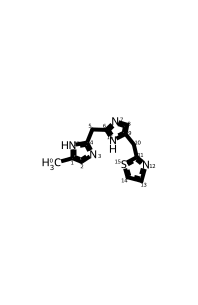 Cc1cnc(Cc2ncc(Cc3nccs3)[nH]2)[nH]1